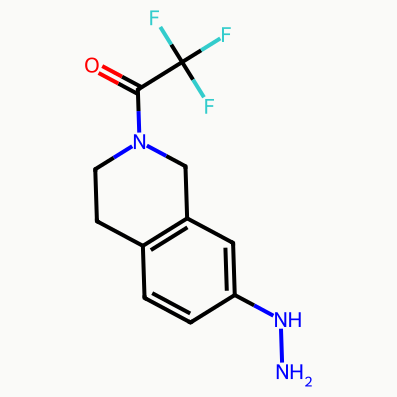 NNc1ccc2c(c1)CN(C(=O)C(F)(F)F)CC2